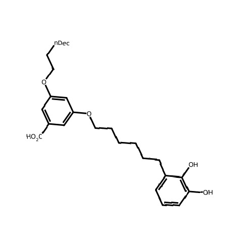 CCCCCCCCCCCCOc1cc(OCCCCCCc2cccc(O)c2O)cc(C(=O)O)c1